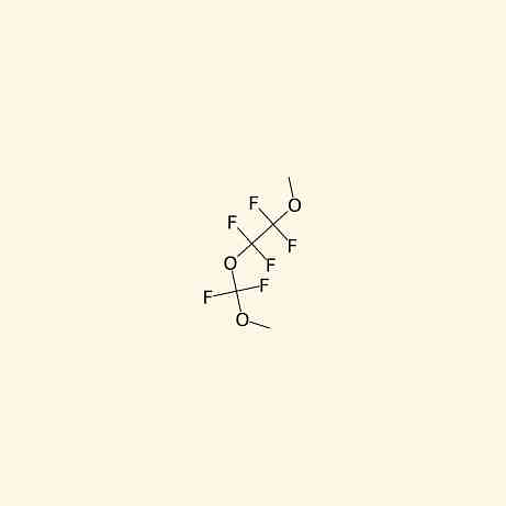 COC(F)(F)OC(F)(F)C(F)(F)OC